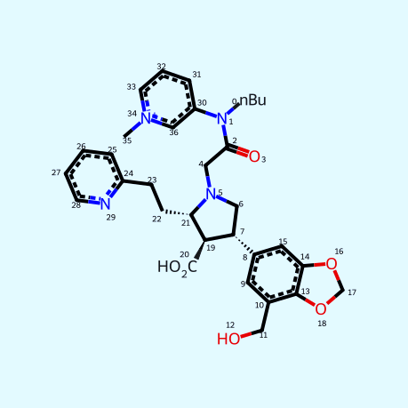 CCCCN(C(=O)CN1C[C@H](c2cc(CO)c3c(c2)OCO3)[C@@H](C(=O)O)[C@@H]1CCc1ccccn1)c1ccc[n+](C)c1